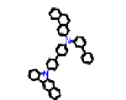 c1ccc(-c2cccc(N(c3ccc(-c4ccc(-n5c6ccccc6c6cc7ccccc7cc65)cc4)cc3)c3ccc4c(ccc5ccccc54)c3)c2)cc1